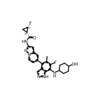 Cc1c(F)c(NC2CCC(O)CC2)c2[nH]ncc2c1-c1ccn2nc(NC(=O)[C@@H]3C[C@@H]3F)cc2c1